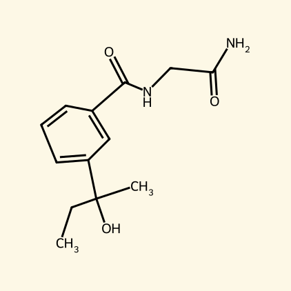 CCC(C)(O)c1cccc(C(=O)NCC(N)=O)c1